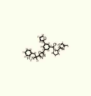 Cc1csc(C2CCCN2C(=O)c2cc(-c3ccco3)cc(-c3nnc(C(C)(N)Cc4ccccc4)o3)c2)n1